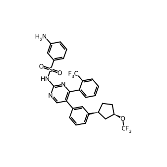 Nc1cccc(S(=O)(=O)Nc2ncc(-c3cccc([C@H]4CC[C@@H](OC(F)(F)F)C4)c3)c(-c3ccccc3C(F)(F)F)n2)c1